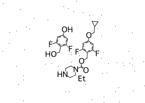 CC[C@@H]1CNCCN1C(=O)OCc1c(F)cc(OCC2CC2)cc1F.OCc1c(F)cc(O)cc1F